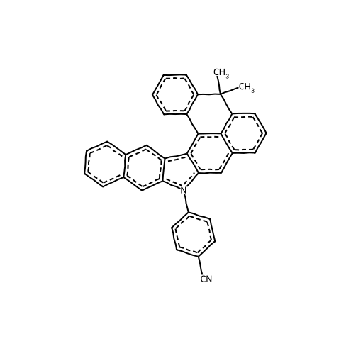 CC1(C)c2ccccc2-c2c3c1cccc3cc1c2c2cc3ccccc3cc2n1-c1ccc(C#N)cc1